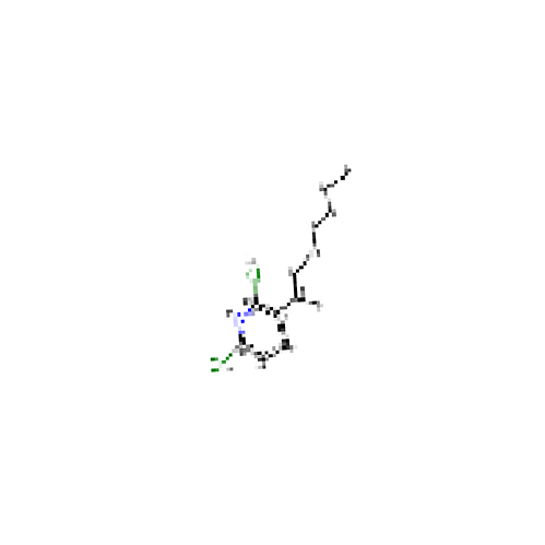 CCCCCCC(C)c1ccc(Cl)nc1Cl